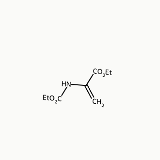 C=C(NC(=O)OCC)C(=O)OCC